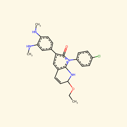 CCOC1C=Cc2cc(-c3ccc(NC)c(NC)c3)c(=O)n(-c3ccc(Cl)cc3)c2N1